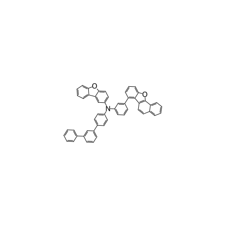 c1ccc(-c2cccc(-c3ccc(N(c4cccc(-c5cccc6oc7c8ccccc8ccc7c56)c4)c4ccc5oc6ccccc6c5c4)cc3)c2)cc1